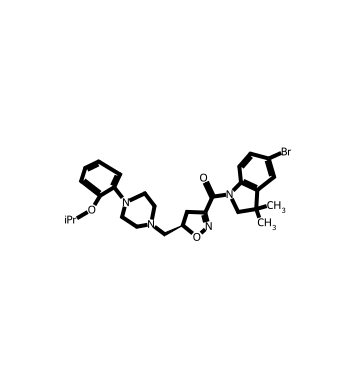 CC(C)Oc1ccccc1N1CCN(C[C@H]2CC(C(=O)N3CC(C)(C)c4cc(Br)ccc43)=NO2)CC1